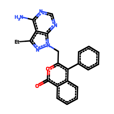 CCc1nn(Cc2oc(=O)c3ccccc3c2-c2ccccc2)c2ncnc(N)c12